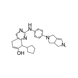 CN1C=C2CN(c3ccc(Nc4ncc5c(n4)C(C4CCCC4)C(O)=CC5)cc3)CC2C1